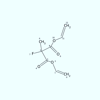 C=COC(=O)C(C)(F)C(=O)OC=C